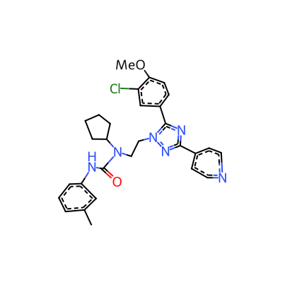 COc1ccc(-c2nc(-c3ccncc3)nn2CCN(C(=O)Nc2cccc(C)c2)C2CCCC2)cc1Cl